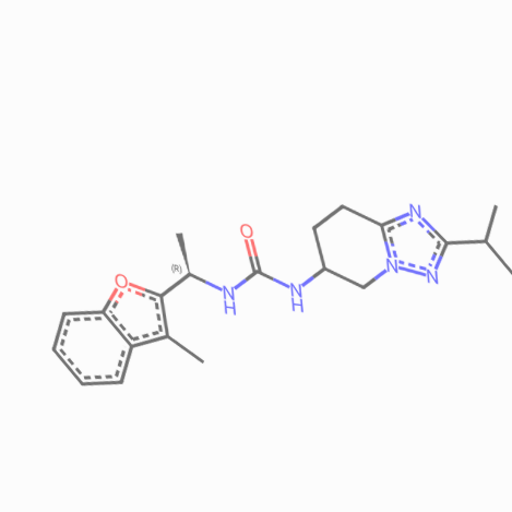 Cc1c([C@@H](C)NC(=O)NC2CCc3nc(C(C)C)nn3C2)oc2ccccc12